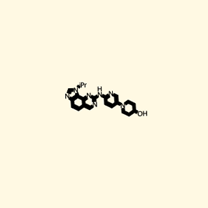 CC(C)n1cnc2ccc3cnc(Nc4ccc(N5CCC(O)CC5)cn4)nc3c21